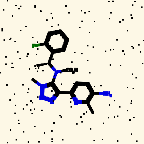 Cc1nc(-c2nnn(C)c2N(C(=O)O)[C@H](C)c2ccccc2F)ccc1N